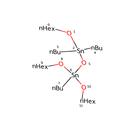 CCCCCC[O][Sn]([CH2]CCC)([CH2]CCC)[O][Sn]([CH2]CCC)([O]CCCCCC)[O]CCCCCC